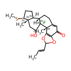 CC=CC1OC2=C(O1)[C@@]1(C)C(=CC2=O)CC[C@H]2[C@@H]3CC[C@H](SC)[C@@]3(C)C[C@H](O)[C@@]21F